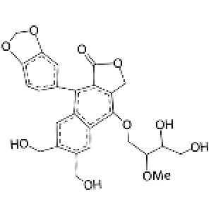 COC(COc1c2c(c(-c3ccc4c(c3)OCO4)c3cc(CO)c(CO)cc13)C(=O)OC2)C(O)CO